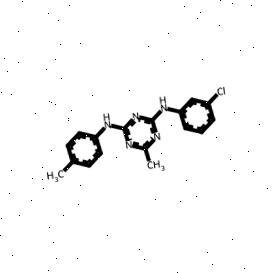 Cc1ccc(Nc2nc(C)nc(Nc3cccc(Cl)c3)n2)cc1